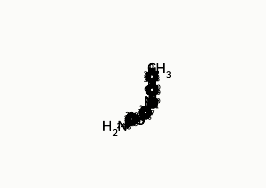 CN1CCN([C@H]2CC[C@@H](n3ccc(-c4ccc(Oc5cccc(CN)c5)cc4)n3)CC2)CC1